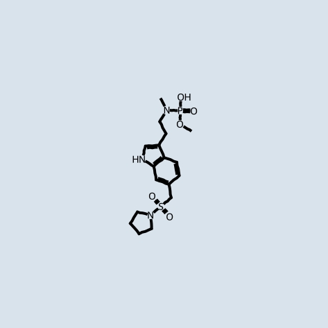 COP(=O)(O)N(C)CCc1c[nH]c2cc(CS(=O)(=O)N3CCCC3)ccc12